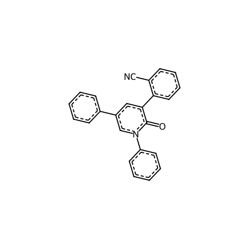 N#Cc1ccccc1-c1cc(-c2ccccc2)cn(-c2ccccc2)c1=O